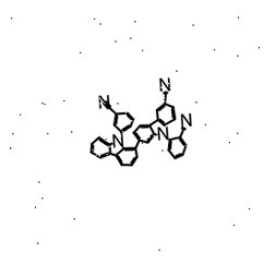 N#Cc1cccc(-n2c3ccccc3c3cccc(-c4ccc5c6cc(C#N)ccc6n(-c6ccccc6C#N)c5c4)c32)c1